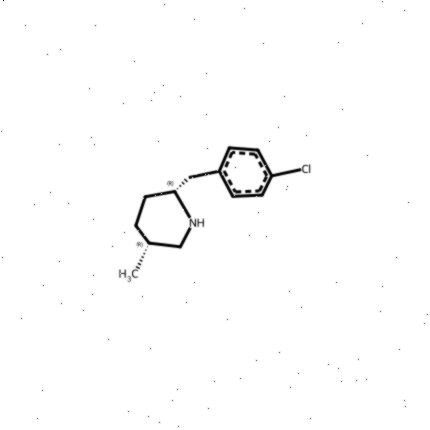 C[C@@H]1CC[C@H](Cc2ccc(Cl)cc2)NC1